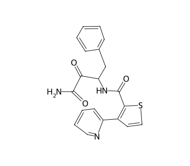 NC(=O)C(=O)C(Cc1ccccc1)NC(=O)c1sccc1-c1ccccn1